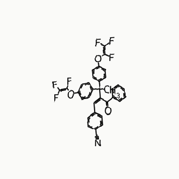 CC(C(=Cc1ccc(C#N)cc1)C(=O)c1ccccc1)(c1ccc(OC(F)=C(F)F)cc1)c1ccc(OC(F)=C(F)F)cc1